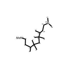 CNCCC(C)C(C)(C)CC(C)(C)C(C)CCN(C)C